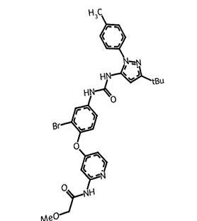 COCC(=O)Nc1cc(Oc2ccc(NC(=O)Nc3cc(C(C)(C)C)nn3-c3ccc(C)cc3)cc2Br)ccn1